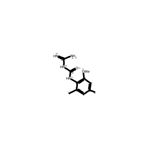 COc1cc(C)cc(C)c1NC(=O)NC(=N)N